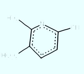 Cc1[c]cc(C(=O)O)c(C)n1